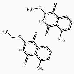 CCOn1[nH]c(=O)c2c(N)cccc2c1=O.COn1[nH]c(=O)c2c(N)cccc2c1=O